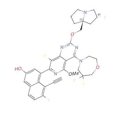 C#Cc1c(F)ccc2cc(O)cc(-c3nc(OC)c4c(N5CCOCC(F)(F)C5)nc(OC[C@@]56CCCN5C[C@H](F)C6)nc4c3F)c12